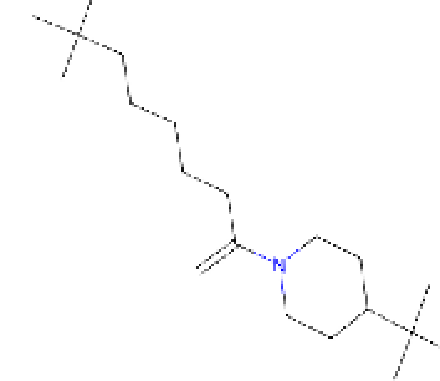 C=C(CCCCCC(C)(C)C)N1CCC(C(C)(C)C)CC1